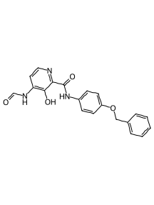 O=CNc1ccnc(C(=O)Nc2ccc(OCc3ccccc3)cc2)c1O